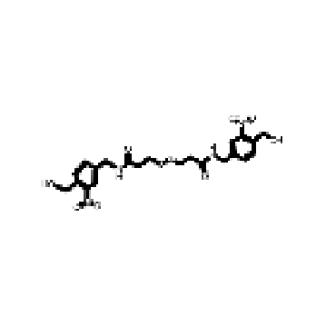 O=C(CCSSCCC(=O)NCc1ccc(CO)c([N+](=O)[O-])c1)NCc1ccc(CO)c([N+](=O)[O-])c1